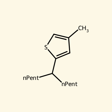 CCCCCC(CCCCC)c1cc(C)cs1